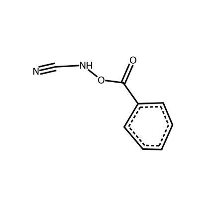 N#CNOC(=O)c1ccccc1